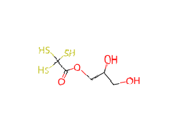 O=C(OCC(O)CO)C(S)(S)S